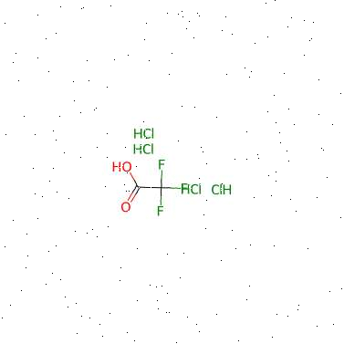 Cl.Cl.Cl.Cl.O=C(O)C(F)(F)F